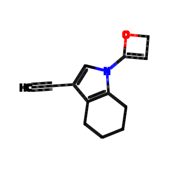 C#Cc1cn(C2=CCO2)c2c1CCCC2